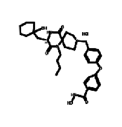 CCCCN1C(=O)[C@@H](CC2(O)CCCCC2)NC(=O)C12CCN(Cc1ccc(Oc3ccc(C(=O)NO)cc3)cc1)CC2.Cl